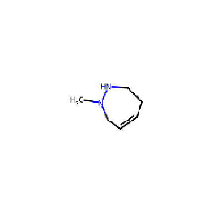 CN1CC=CCCN1